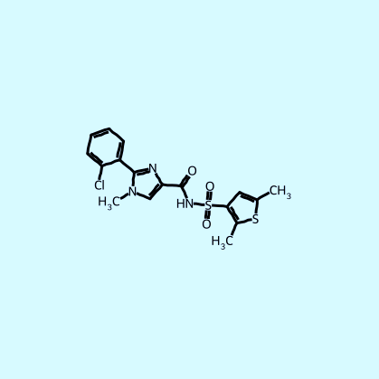 Cc1cc(S(=O)(=O)NC(=O)c2cn(C)c(-c3ccccc3Cl)n2)c(C)s1